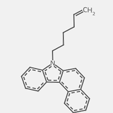 C=CCCCCn1c2ccccc2c2c3ccccc3ccc21